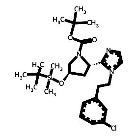 CC(C)(C)OC(=O)N1C[C@H](O[Si](C)(C)C(C)(C)C)C[C@H]1c1nccn1CCc1cccc(Cl)c1